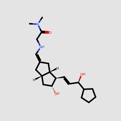 CN(C)C(=O)CNC=C1C[C@H]2C[C@@H](O)[C@H](C=C[C@@H](O)C3CCCC3)[C@H]2C1